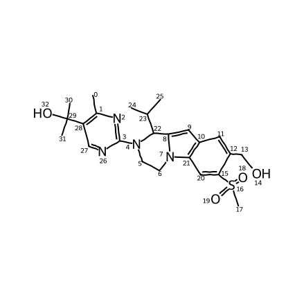 Cc1nc(N2CCn3c(cc4cc(CO)c(S(C)(=O)=O)cc43)C2C(C)C)ncc1C(C)(C)O